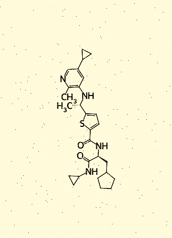 Cc1ncc(C2CC2)cc1N[C@@H](C)c1ccc(C(=O)N[C@@H](CC2CCCC2)C(=O)NC2CC2)s1